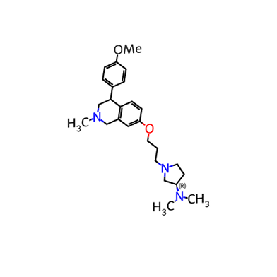 COc1ccc(C2CN(C)Cc3cc(OCCCN4CC[C@@H](N(C)C)C4)ccc32)cc1